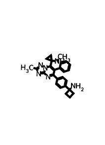 CNC1(c2c(-c3ccccc3)c(-c3ccc(C4(N)CCC4)cc3)nc3nc(C)nn23)CC1